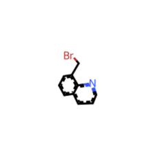 BrCc1cccc2cccnc12